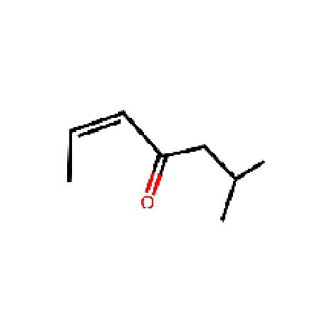 C/C=C\C(=O)CC(C)C